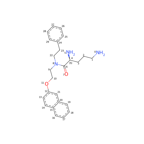 NCCC[C@H](N)C(=O)N(CCOc1ccc2ccccc2c1)CCc1ccccc1